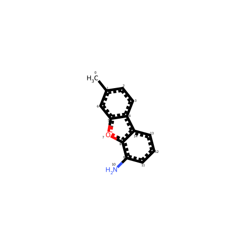 Cc1ccc2c(c1)oc1c(N)cccc12